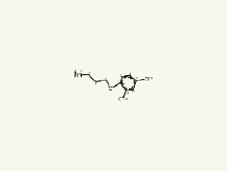 CNCCCOc1ccc(Cl)cc1Cl